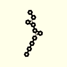 c1ccc(-c2ccc(-c3ccc(-c4ccc(-n5c6ccccc6c6cc(-c7ccc8c(c7)c7ccccc7n8-c7cccc(-c8ccccc8)c7)ccc65)cc4)cc3)cc2)cc1